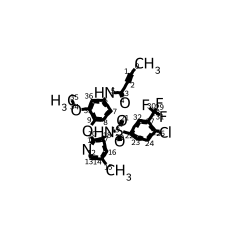 CC#CC(=O)Nc1ccc(Oc2ncc(C)cc2NS(=O)(=O)c2ccc(Cl)c(C(F)(F)F)c2)c(OC)c1